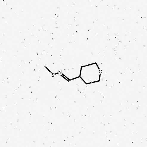 CS/N=C/C1CCOCC1